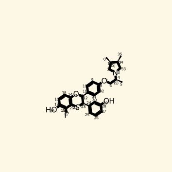 C[C@@H]1CN([C@@H](C)COc2ccc([C@@H]3Oc4ccc(O)c(F)c4S[C@@H]3c3cccc(O)c3)cc2)C[C@@H]1C